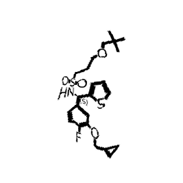 CC(C)(C)COCCCS(=O)(=O)N[C@@H](c1ccc(F)c(OCC2CC2)c1)c1cccs1